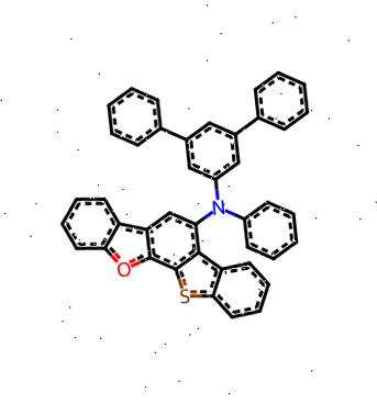 c1ccc(-c2cc(-c3ccccc3)cc(N(c3ccccc3)c3cc4c5ccccc5oc4c4sc5ccccc5c34)c2)cc1